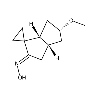 CO[C@@H]1C[C@@H]2C/C(=N\O)C3(CC3)[C@@H]2C1